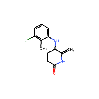 C=C1NC(=O)CCC1Nc1cccc(Cl)c1OC